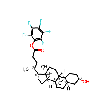 C[C@H](CCC(=O)Oc1c(F)c(F)c(F)c(F)c1F)[C@H]1CC[C@H]2[C@@H]3CC[C@@H]4C[C@H](O)CC[C@]4(C)[C@H]3CC[C@]12C